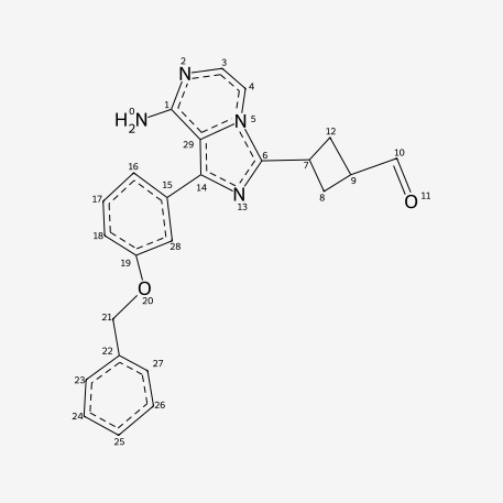 Nc1nccn2c(C3CC(C=O)C3)nc(-c3cccc(OCc4ccccc4)c3)c12